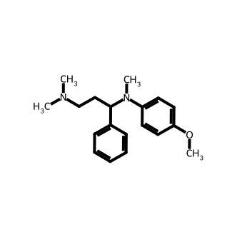 COc1ccc(N(C)C(CCN(C)C)c2ccccc2)cc1